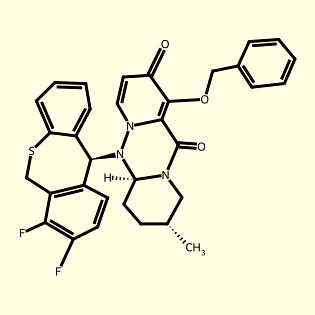 C[C@@H]1CC[C@@H]2N(C1)C(=O)c1c(OCc3ccccc3)c(=O)ccn1N2[C@@H]1c2ccccc2SCc2c1ccc(F)c2F